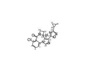 O=C1c2c(Cl)cccc2-n2cnc(-c3nc(C4CC4)no3)c2[C@@H]2CCN12